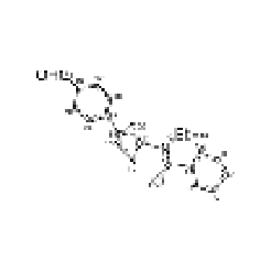 CCN(C(=O)c1ccccc1F)c1nnc(-c2ccc(C=O)cc2)s1